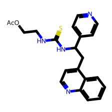 CC(=O)OCCNC(=S)NC(Cc1ccnc2ccccc12)c1ccncc1